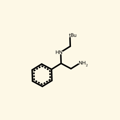 CC(C)(C)CNC(CN)c1ccccc1